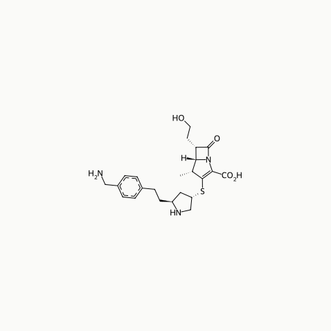 C[C@H]1C(S[C@@H]2CN[C@@H](CCc3ccc(CN)cc3)C2)=C(C(=O)O)N2C(=O)[C@@H](CCO)[C@@H]12